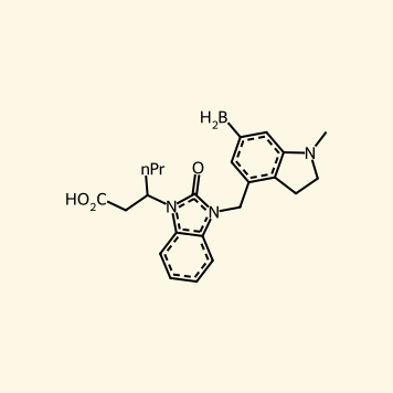 Bc1cc(Cn2c(=O)n(C(CCC)CC(=O)O)c3ccccc32)c2c(c1)N(C)CC2